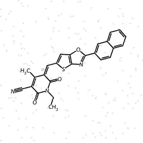 CCN1C(=O)C(C#N)=C(C)/C(=C/c2cc3oc(-c4ccc5ccccc5c4)nc3s2)C1=O